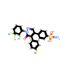 NS(=O)(=O)c1ccc(-c2cnn(C3=CC=CC(F)(F)C3F)c(=O)c2-c2ccc(F)cc2)cc1